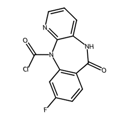 O=C1Nc2cccnc2N(C(=O)Cl)c2cc(F)ccc21